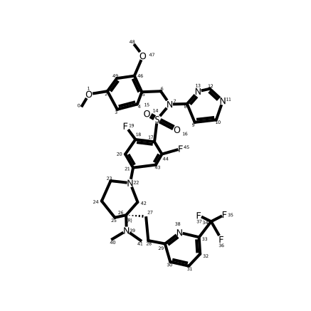 COc1ccc(CN(c2ccncn2)S(=O)(=O)c2c(F)cc(N3CCC[C@](CCc4cccc(C(F)(F)F)n4)(N(C)C)C3)cc2F)c(OC)c1